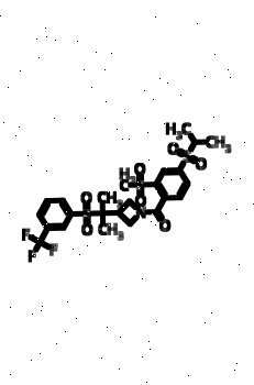 CC(C)S(=O)(=O)c1ccc(C(=O)N2CC(C(C)(C)S(=O)(=O)c3cccc(C(F)(F)F)c3)C2)c(S(C)(=O)=O)c1